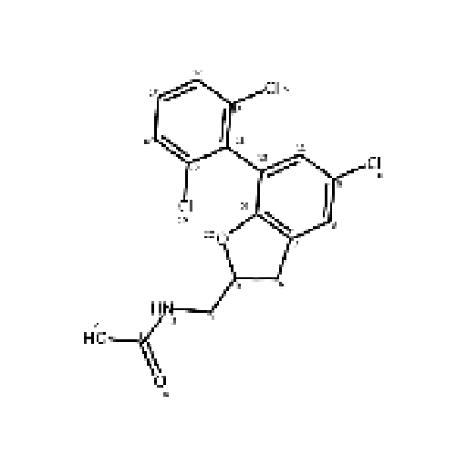 O=C(O)NCC1Cc2cc(Cl)cc(-c3c(Cl)cccc3Cl)c2O1